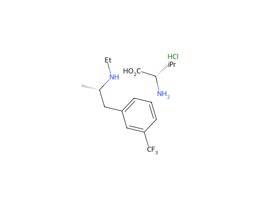 CC(C)[C@H](N)C(=O)O.CCN[C@@H](C)Cc1cccc(C(F)(F)F)c1.Cl